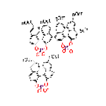 CCCCCCCCc1ccc2c3c(ccc2c1)OP(=O)([O-])Oc1ccc2cc(CCCCCCCC)ccc2c1-3.CCCCCCCCc1ccc2c3c(ccc2c1)OP(=O)([O-])Oc1ccc2cc(CCCCCCCC)ccc2c1-3.CCCCCCCCc1ccc2c3c(ccc2c1)OP(=O)([O-])Oc1ccc2cc(CCCCCCCC)ccc2c1-3.[Sc+3]